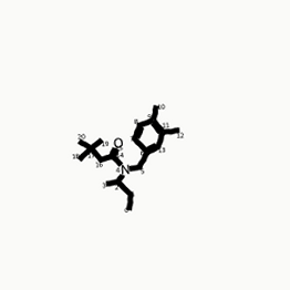 CCC(C)N(Cc1ccc(C)c(C)c1)C(=O)CC(C)(C)C